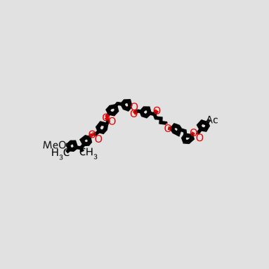 COc1ccc(C(C)c2ccc(OC(=O)c3ccc(C(=O)Oc4ccc(Cc5ccc(OC(=O)c6ccc(C(=O)CCCCOc7ccc(Cc8ccccc8OC(=O)c8ccc(C(C)=O)cc8)cc7)cc6)cc5)cc4)cc3)cc2)cc1C